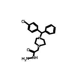 NNC(=O)CN1CCN(C(c2ccccc2)c2ccc(Cl)cc2)CC1